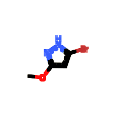 COc1cc(Br)[nH]n1